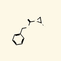 CC(=O)[C@@H]1CN1C(=O)OCc1ccccc1